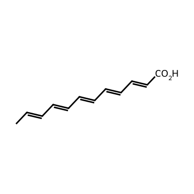 C/C=C/C=C/C=C/C=C/C=C/C(=O)O